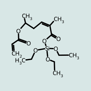 C=CC(=O)OC(C)CC=C(C)C(=O)O[Si](OCC)(OCC)OCC